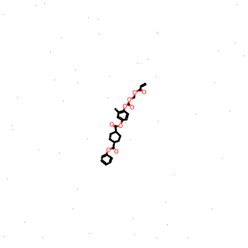 C=CC(=O)OCOC(=O)Oc1ccc(OC(=O)C2CCC(C(=O)Oc3ccccc3)CC2)cc1C